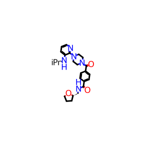 CC(C)Nc1cccnc1N1CCN(C(=O)c2ccc(C(=O)NC[C@@H]3CCCO3)cc2)CC1